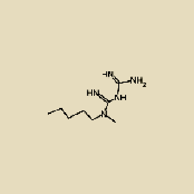 CCCCCN(C)C(=N)NC(=N)N